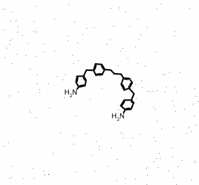 Nc1ccc(Cc2ccc(CCCc3ccc(Cc4ccc(N)cc4)cc3)cc2)cc1